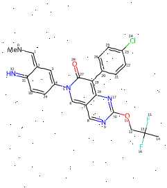 CN/C=C1/C=C(n2cc3cnc(OCC(C)(F)F)nc3c(-c3ccc(Cl)cc3)c2=O)C=CC1=N